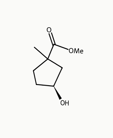 COC(=O)C1(C)CC[C@H](O)C1